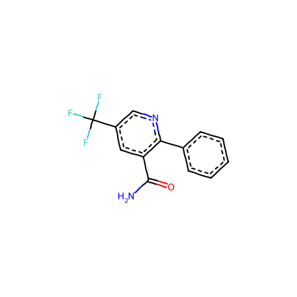 NC(=O)c1cc(C(F)(F)F)cnc1-c1ccccc1